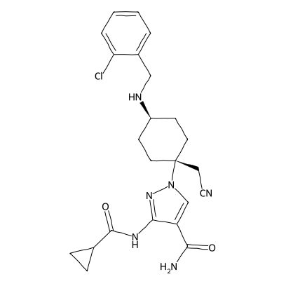 N#CC[C@]1(n2cc(C(N)=O)c(NC(=O)C3CC3)n2)CC[C@H](NCc2ccccc2Cl)CC1